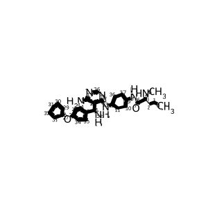 CCC[C@@H](NC)C(=O)NC1CCC(Nc2ncnc(N)c2C(=N)c2ccc(Oc3ccccc3)cc2)CC1